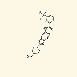 O=C[C@H]1CC[C@H](c2nc3cnc(NC(=O)c4cccc(C(F)(F)F)n4)cc3s2)CC1